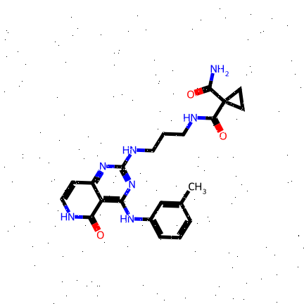 Cc1cccc(Nc2nc(NCCCNC(=O)C3(C(N)=O)CC3)nc3cc[nH]c(=O)c23)c1